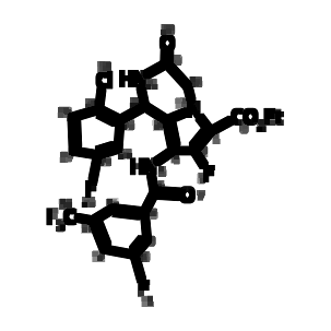 CCOC(=O)c1c(F)c(NC(=O)c2cc(F)cc(C(F)(F)F)c2)c2n1CC(=O)NC2c1cc(F)ccc1Cl